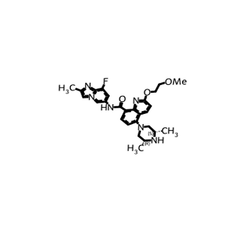 COCCOc1ccc2c(N3C[C@@H](C)N[C@@H](C)C3)ccc(C(=O)Nc3cc(F)c4nc(C)cn4c3)c2n1